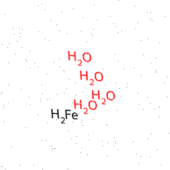 O.O.O.O.[FeH2]